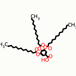 CCCCCCCCCCCCC(=O)Oc1cc(C(=O)O)cc(OC(=O)CCCCCCCCCCCC)c1OC(=O)CCCCCCCCCCCC